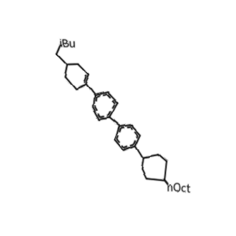 CCCCCCCCC1CCC(c2ccc(-c3ccc(C4=CCC(CC(C)CC)CC4)cc3)cc2)CC1